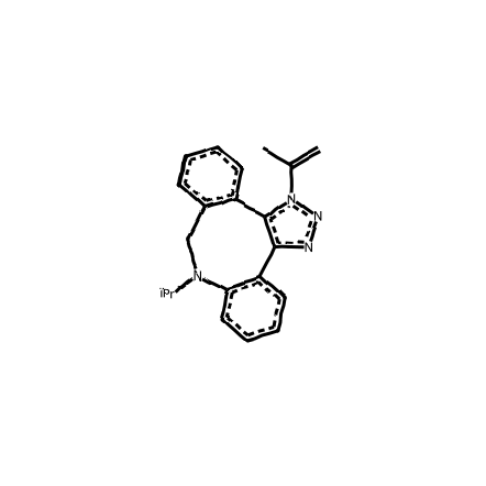 C=C(C)n1nnc2c1-c1ccccc1CN(C(C)C)c1ccccc1-2